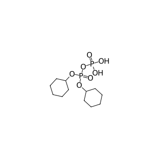 O=P(O)(O)OP(=O)(OC1CCCCC1)OC1CCCCC1